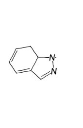 C1=CCC2[N]N=CC2=C1